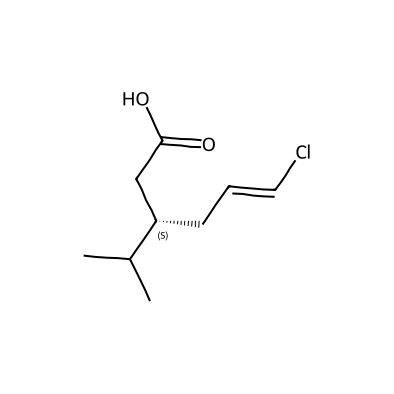 CC(C)[C@@H](CC=CCl)CC(=O)O